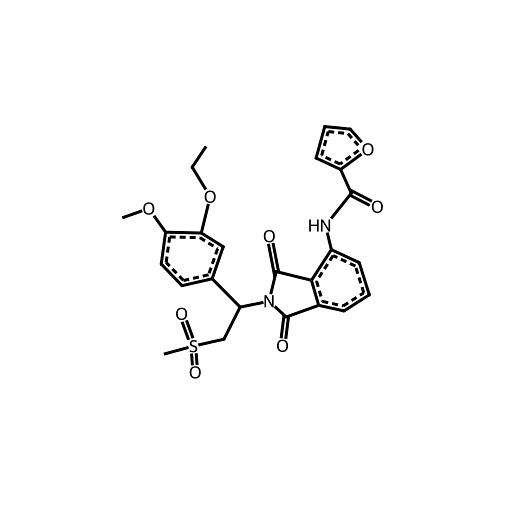 CCOc1cc(C(CS(C)(=O)=O)N2C(=O)c3cccc(NC(=O)c4ccco4)c3C2=O)ccc1OC